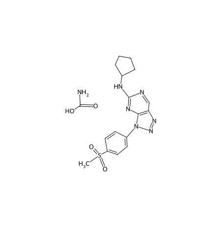 CS(=O)(=O)c1ccc(-n2nnc3cnc(NC4CCCC4)nc32)cc1.NC(=O)O